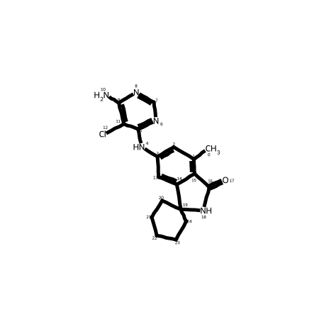 Cc1cc(Nc2ncnc(N)c2Cl)cc2c1C(=O)NC21CCCCC1